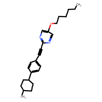 CCCCCCOc1cnc(C#Cc2ccc(C3CCC(C)CC3)cc2)nc1